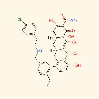 CCc1ccc(CNCCc2ccc(Cl)cc2)cc1-c1ccc(O)c2c1C[C@H]1C[C@H]3CC(O)=C(C(N)=O)C(=O)[C@@]3(O)C(O)=C1C2=O